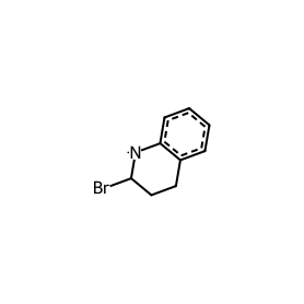 BrC1CCc2ccccc2[N]1